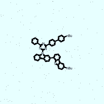 CCCCc1ccc(-c2ccc(-c3nc(-c4ccccc4)nc(-n4c5ccccc5c5ccc(-c6cccc7c6sc6ccc(CCCC)cc67)cc54)n3)cc2)cc1